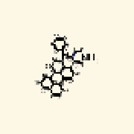 C/C=C(\C=C/N)N(c1ccccc1)c1ccc2c3cccc4cccc(c5cccc1c52)c43